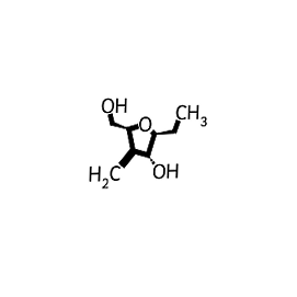 C=C1[C@@H](O)[C@H](CC)O[C@@H]1CO